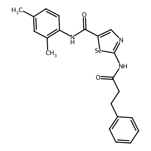 Cc1ccc(NC(=O)c2cnc(NC(=O)CCc3ccccc3)[se]2)c(C)c1